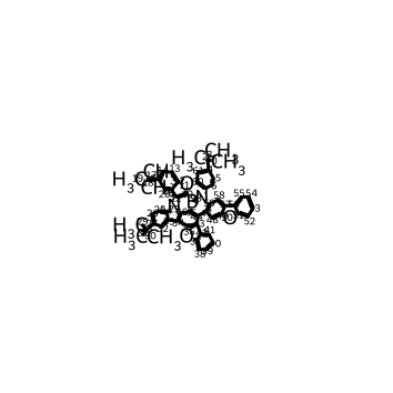 CC(C)(C)c1ccc(N2B3c4oc5ccc(C(C)(C)C)cc5c4-n4c5ccc(C(C)(C)C)cc5c5c6oc7ccccc7c6c(c3c54)-c3cc4oc5ccccc5c4cc32)cc1